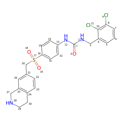 O=C(NCc1cccc(Cl)c1Cl)Nc1ccc(S(=O)(=O)Cc2ccc3c(c2)CNCC3)cc1